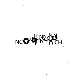 CC1C=Nc2ncn(Cc3nc([C@H]4[C@@H]5CN(c6ccc(C#N)cc6)C[C@@H]54)no3)c(=O)c21